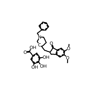 COc1cc2c(cc1OC)C(=O)C(CC1CCN(Cc3ccccc3)CC1)C2.O=C(O)c1cc(O)c(O)c(O)c1